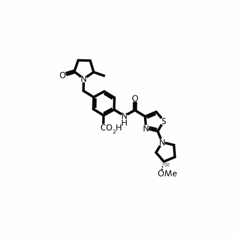 CO[C@H]1CCN(c2nc(C(=O)Nc3ccc(CN4C(=O)CCC4C)cc3C(=O)O)cs2)C1